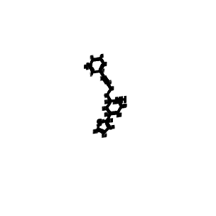 C(#Cc1cccnc1)CCC1CC(c2cccs2)=CCN1